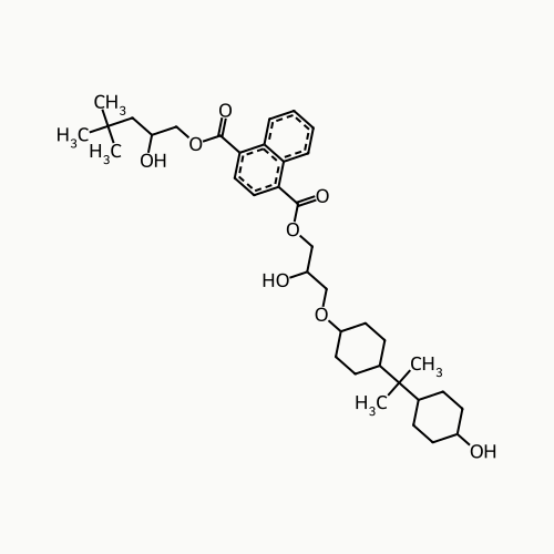 CC(C)(C)CC(O)COC(=O)c1ccc(C(=O)OCC(O)COC2CCC(C(C)(C)C3CCC(O)CC3)CC2)c2ccccc12